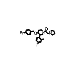 Cc1cc(F)ccc1C1CN(C(=O)CN2CCCC2)CCC1OCc1ccc(Br)cc1